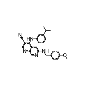 COc1ccc(CNc2cc3c(Nc4cccc(C(C)C)c4)c(C#N)cnc3cn2)cc1